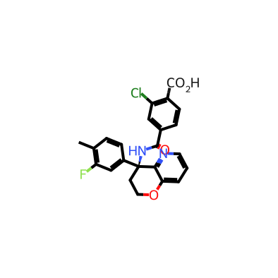 Cc1ccc([C@@]2(NC(=O)c3ccc(C(=O)O)c(Cl)c3)CCOc3cccnc32)cc1F